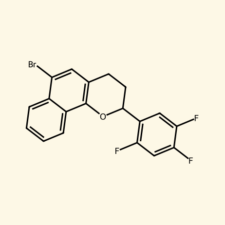 Fc1cc(F)c(C2CCc3cc(Br)c4ccccc4c3O2)cc1F